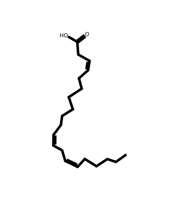 CCCCC/C=C\C/C=C\CCCCCC/C=C\CC(=O)O